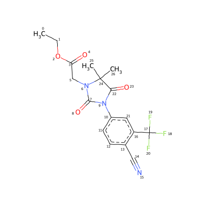 CCOC(=O)CN1C(=O)N(c2ccc(C#N)c(C(F)(F)F)c2)C(=O)C1(C)C